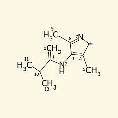 C=C(NC1=C(C)CN=C1C)C(C)C